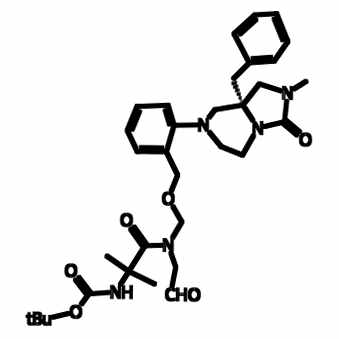 CN1C[C@]2(Cc3ccccc3)CN(c3ccccc3COCN(CC=O)C(=O)C(C)(C)NC(=O)OC(C)(C)C)CCN2C1=O